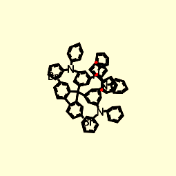 Brc1ccc2c(c1)C(c1cc(N(c3ccccc3)c3ccccc3)cc(N(c3ccccc3)c3ccccc3)c1)(c1cc(N(c3ccccc3)c3ccccc3)cc(N(c3ccccc3)c3ccccc3)c1)c1cc(Br)ccc1-2